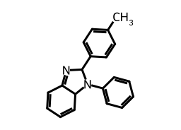 Cc1ccc(C2N=C3C=CC=CC3N2c2ccccc2)cc1